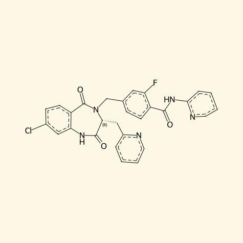 O=C(Nc1ccccn1)c1ccc(CN2C(=O)c3ccc(Cl)cc3NC(=O)[C@H]2Cc2ccccn2)cc1F